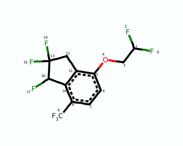 FC(F)COc1ccc(C(F)(F)F)c2c1CC(F)(F)C2F